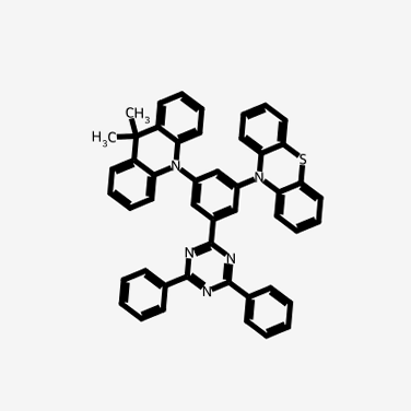 CC1(C)c2ccccc2N(c2cc(-c3nc(-c4ccccc4)nc(-c4ccccc4)n3)cc(N3c4ccccc4Sc4ccccc43)c2)c2ccccc21